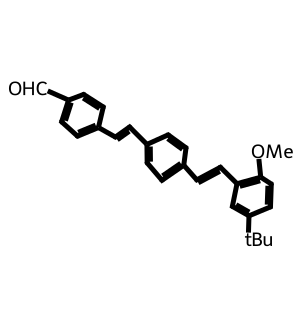 COc1ccc(C(C)(C)C)cc1/C=C/c1ccc(/C=C/c2ccc(C=O)cc2)cc1